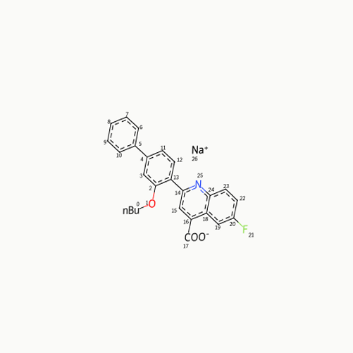 CCCCOc1cc(-c2ccccc2)ccc1-c1cc(C(=O)[O-])c2cc(F)ccc2n1.[Na+]